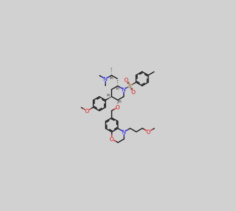 COCCCN1CCOc2ccc(CO[C@H]3CN(S(=O)(=O)c4ccc(C)cc4)[C@@H](C[C@@H](C)N(C)C)C[C@@H]3c3ccc(OC)cc3)cc21